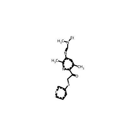 CCN(C)C=Nc1cc(C)c(C(=O)CSc2ccccc2)nc1C